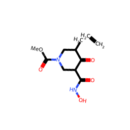 C=C.COC(=O)N1CC(C)C(=O)C(C(=O)NO)C1